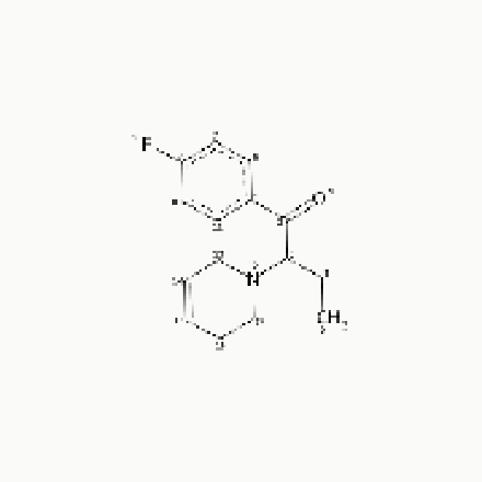 CCC(C(=O)c1ccc(F)cc1)N1CC=CCC1